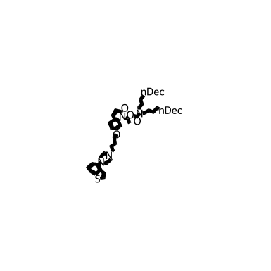 CCCCCCCCCCCCCCN(CCCCCCCCCCCCCC)C(=O)OC(C)n1c(=O)ccc2ccc(OCCCCN3CCN(c4cccc5sccc45)CC3)cc21